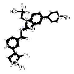 Cc1c(-c2cc(C(=O)/N=c3\[nH]c4cc(C5CCN(C)CC5)ccc4n3CC(C)(C)O)ccn2)cnn1C